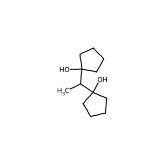 CC(C1(O)CCCC1)C1(O)CCCC1